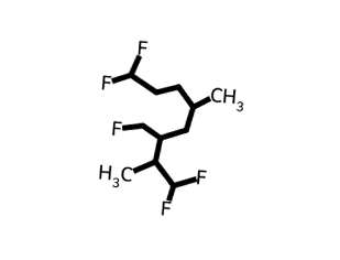 CC(CCC(F)F)CC(CF)C(C)C(F)F